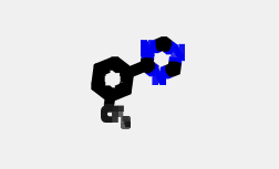 FC(F)(F)c1cccc(-c2ncncn2)c1